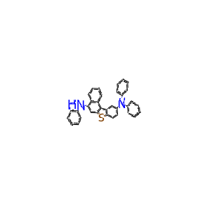 c1ccc(Nc2cc3sc4ccc(N(c5ccccc5)c5ccccc5)cc4c3c3ccccc23)cc1